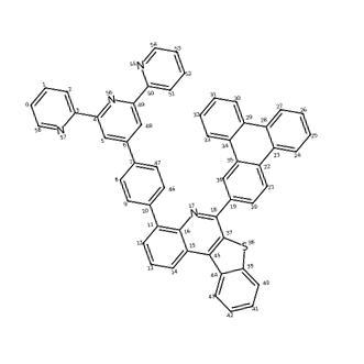 c1ccc(-c2cc(-c3ccc(-c4cccc5c4nc(-c4ccc6c7ccccc7c7ccccc7c6c4)c4sc6ccccc6c45)cc3)cc(-c3ccccn3)n2)nc1